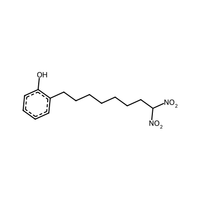 O=[N+]([O-])C(CCCCCCCc1ccccc1O)[N+](=O)[O-]